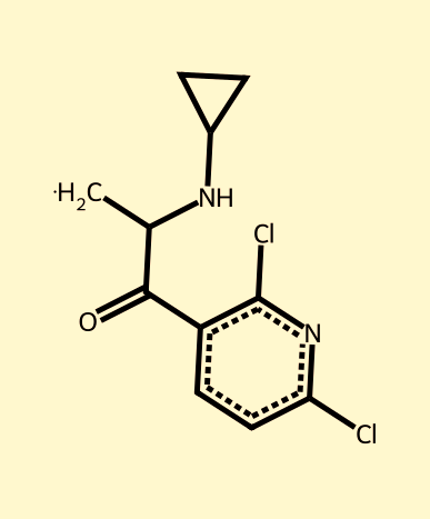 [CH2]C(NC1CC1)C(=O)c1ccc(Cl)nc1Cl